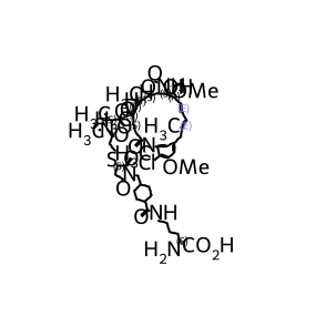 COc1cc2cc(c1Cl)N(C)C(=O)C[C@H](OC(=O)[C@H](C)N(C)C(=O)CCS[C@H]1CC(=O)N(CC3CCC(C(=O)NCCCC[C@H](N)C(=O)O)CC3)C1=O)[C@]1(C)O[C@H]1[C@H](C)[C@@H]1C[C@@](O)(NC(=O)O1)[C@H](OC)/C=C/C=C(\C)C2